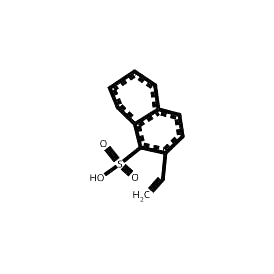 C=Cc1ccc2ccccc2c1S(=O)(=O)O